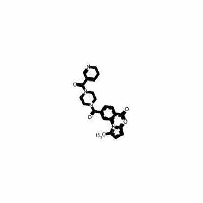 Cc1ccc2oc(=O)c3ccc(C(=O)N4CCN(C(=O)C5=CCCN=C5)CC4)cc3n12